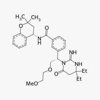 CCC1(CC)CC(=O)N([C@H](COCCOC)c2cccc(C(=O)N[C@H]3CC(C)(C)Oc4ccccc43)c2)C(=N)N1